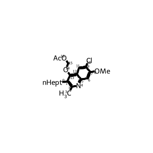 CCCCCCCc1c(C)nc2cc(OC)c(Cl)cc2c1OCOC(C)=O